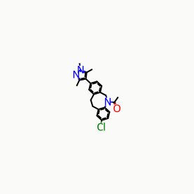 CC(=O)N1Cc2ccc(-c3c(C)nn(C)c3C)cc2CCc2cc(Cl)ccc21